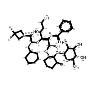 CCC1CCC[C@@H](O[C@H](O)/C(OC(=O)c2ccccc2)=C(\O[C@@H](CC2CCCCC2)C(=O)N2CC(F)(F)C2)[C@@H](O)CCO)C1O[C@@H]1OC(C(F)(F)F)[C@@H](O)C(O)C1O